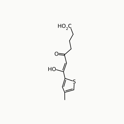 Cc1csc(C(O)=CC(=O)CCCC(=O)O)c1